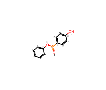 O=[PH](Oc1ccccc1)c1ccc(O)cc1